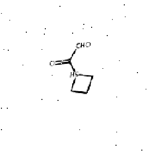 O=CC(=O)[SH]1CCC1